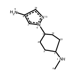 CNC1CCC(n2cc(N)cn2)CC1